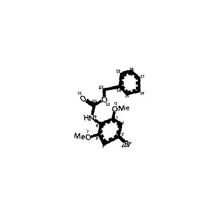 COc1cc(Br)cc(OC)c1NC(=O)OCc1ccccc1